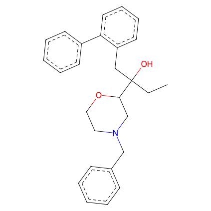 CCC(O)(Cc1ccccc1-c1ccccc1)C1CN(Cc2ccccc2)CCO1